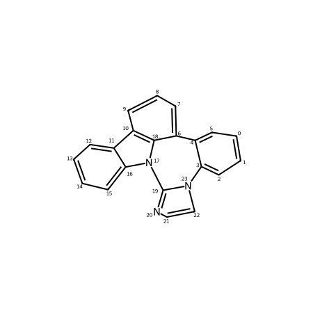 c1ccc2c(c1)c1cccc3c4ccccc4n(c13)c1nccn21